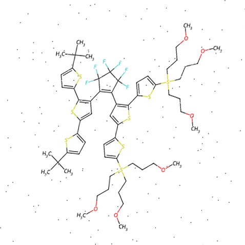 COCCCS(CCCOC)(CCCOC)c1ccc(-c2cc(C3=C(c4cc(-c5ccc(C(C)(C)C)s5)sc4-c4ccc(C(C)(C)C)s4)C(F)(F)C(F)(F)C3(F)F)c(-c3ccc(S(CCCOC)(CCCOC)CCCOC)s3)s2)s1